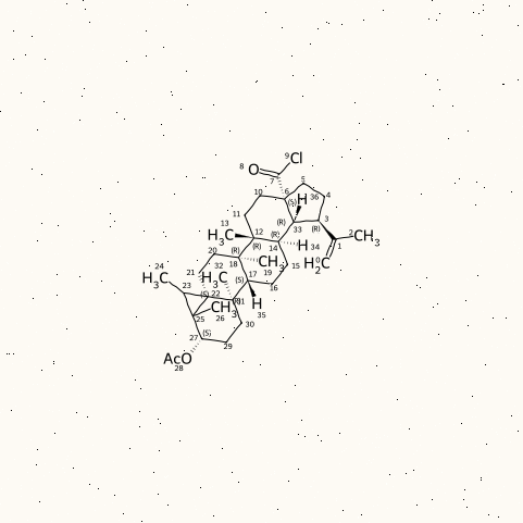 C=C(C)[C@@H]1CC[C@]2(C(=O)Cl)CC[C@]3(C)[C@H](CC[C@H]4[C@@]3(C)CC[C@@]35C(C)C3(C)[C@@H](OC(C)=O)CC[C@]45C)[C@@H]12